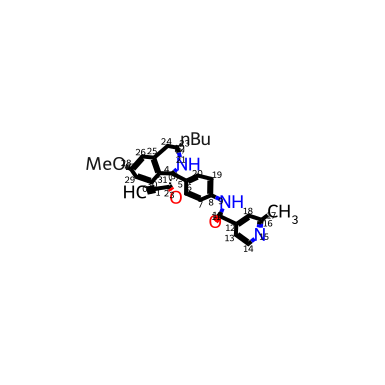 C#CC(=O)[C@@]1(c2ccc(NC(=O)c3ccnc(C)c3)cc2)N[C@@H](CCCC)Cc2cc(OC)ccc21